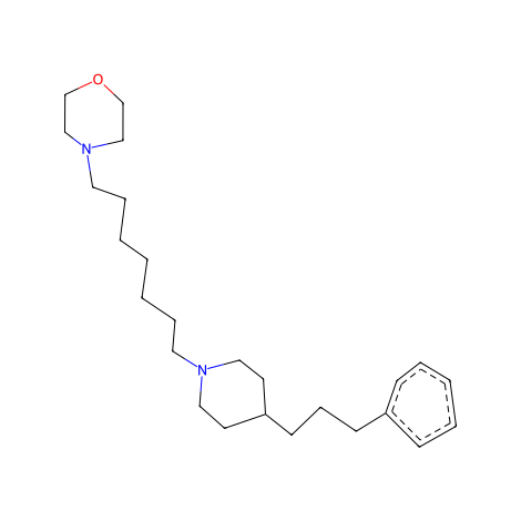 c1ccc(CCCC2CCN(CCCCCCCN3CCOCC3)CC2)cc1